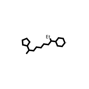 CCC(CCCCCC(C)C1CCCC1)C1CC[CH]CC1